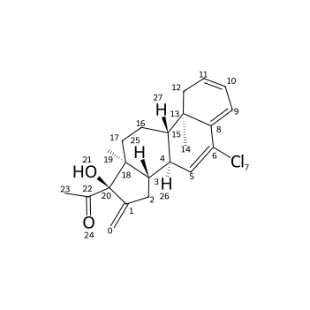 C=C1C[C@H]2[C@@H]3C=C(Cl)C4=CC=CC[C@]4(C)[C@H]3CC[C@]2(C)[C@@]1(O)C(C)=O